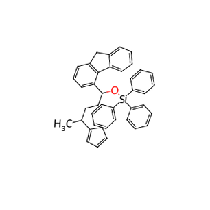 CC(CCC(O[Si](c1ccccc1)(c1ccccc1)c1ccccc1)c1cccc2c1-c1ccccc1C2)C1=CC=CC1